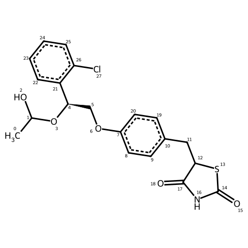 CC(O)O[C@H](COc1ccc(CC2SC(=O)NC2=O)cc1)c1ccccc1Cl